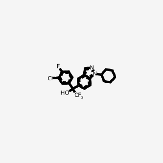 OC(c1ccc(F)c(Cl)c1)(c1ccc2c(cnn2C2CCCCC2)c1)C(F)(F)F